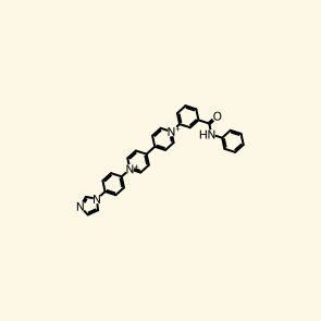 O=C(Nc1ccccc1)c1cccc(-[n+]2ccc(-c3cc[n+](-c4ccc(-n5ccnc5)cc4)cc3)cc2)c1